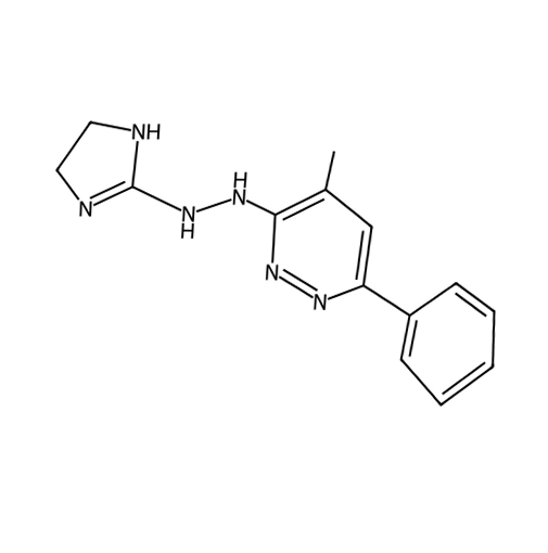 Cc1cc(-c2ccccc2)nnc1NNC1=NCCN1